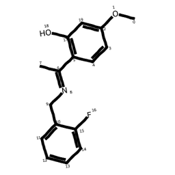 COc1ccc(C(C)=NCc2ccccc2F)c(O)c1